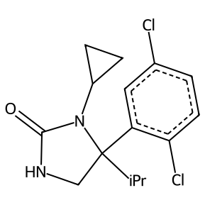 CC(C)C1(c2cc(Cl)ccc2Cl)CNC(=O)N1C1CC1